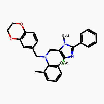 CCCCn1c(-c2ccccc2)nc(Cl)c1CN(Cc1ccc2c(c1)OCCO2)c1c(C)cccc1OC(C)=O